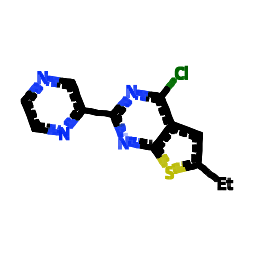 CCc1cc2c(Cl)nc(-c3cnccn3)nc2s1